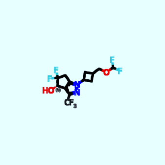 O[C@H]1c2c(C(F)(F)F)nn(C3CC(COC(F)F)C3)c2CC1(F)F